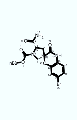 CCCCOC(=O)N1C[C@@]2(C[C@H]1C(N)=O)Oc1cc(Br)ccc1NC2=O